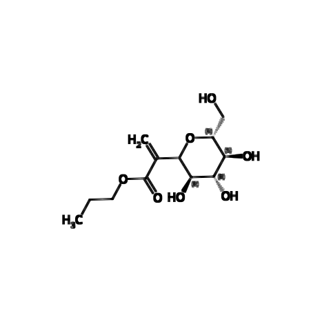 C=C(C(=O)OCCC)C1O[C@H](CO)[C@@H](O)[C@H](O)[C@H]1O